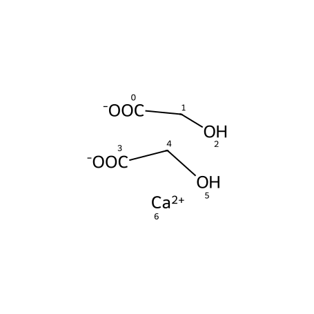 O=C([O-])CO.O=C([O-])CO.[Ca+2]